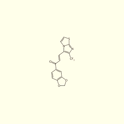 O=C(C=Cc1c(C(F)(F)F)nc2sccn12)c1ccc2c(c1)OCO2